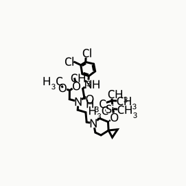 COC(CN(CCCN1CCC2(CC2)[C@H](O[Si](C)(C)C(C)(C)C)C1)C(=O)CNc1ccc(Cl)c(Cl)c1)OC